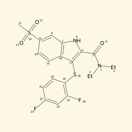 CCN(CC)C(=O)c1[nH]c2cc(S(C)(=O)=O)ccc2c1Sc1ccc(F)cc1F